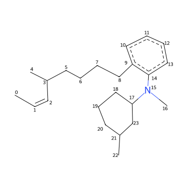 C/C=C\C(C)CCCCc1ccccc1N(C)C1CCCC(C)C1